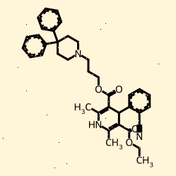 CCOC(=O)C1=C(C)NC(C)=C(C(=O)OCCCN2CCC(c3ccccc3)(c3ccccc3)CC2)C1c1ccccc1C#N